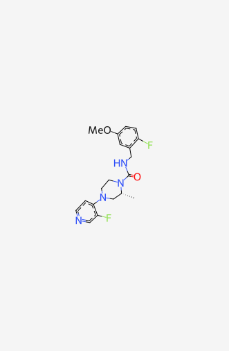 COc1ccc(F)c(CNC(=O)N2CCN(c3ccncc3F)C[C@H]2C)c1